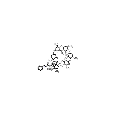 CC1CC(OC2C(C)CC(OC3C(C)CC(OC4C(C)CC(OC5CCC6(C)C(=CCC7(O)C6CC(OC(=O)/C=C/c6ccccc6)C6(C)C(C)(C(=O)O)CCC76O)C5)OC4C)OC3C)OC2C)OC(C)C1O